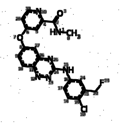 CNC(=O)c1cc(Oc2ccc3nnc(Nc4ccc(Cl)c(CF)c4)nc3c2)ccn1